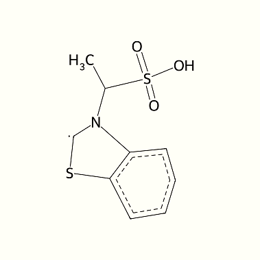 CC(N1[CH]Sc2ccccc21)S(=O)(=O)O